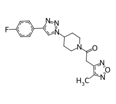 Cc1nonc1CC(=O)N1CCC(n2cc(-c3ccc(F)cc3)nn2)CC1